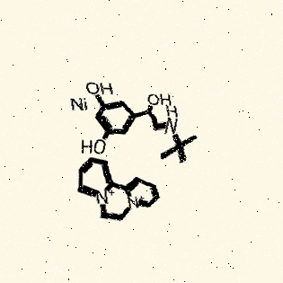 CC(C)(C)NCC(O)c1cc(O)cc(O)c1.[Ni].c1cc[n+]2c(c1)-c1cccc[n+]1CC2